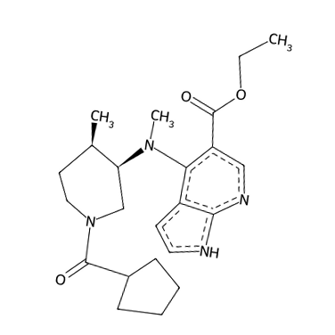 CCOC(=O)c1cnc2[nH]ccc2c1N(C)[C@H]1CN(C(=O)C2CCCC2)CC[C@H]1C